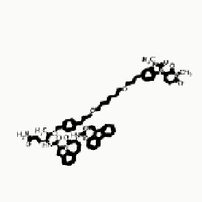 C[C@@H](OCc1ccc(CCCOCCCCCCOCCCc2ccc3c(c2)n(C)c(=O)n3C2CCC(=O)N(C)C2=O)cc1)[C@H](CCC(N)=O)NC(=O)[C@@H]1Cc2cccc3c2N1C(=O)[C@@H](NC(=O)OCC1c2ccccc2-c2ccccc21)CC3